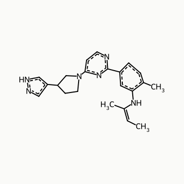 C/C=C(/C)Nc1cc(-c2nccc(N3CCC(c4cn[nH]c4)C3)n2)ccc1C